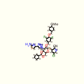 COc1ccc(COc2c(F)cc(COC3C(n4cc(-c5csc(N)n5)nn4)[C@H]4OC(c5ccccc5)OCC4O[C@@H]3Sc3cc(Cl)cnc3C#N)cc2F)cc1